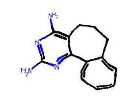 Nc1nc(N)c2c(n1)-c1ccccc1CCC2